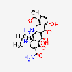 CC(=O)c1ccc(O)c2c1C[C@@]1(N)C[C@H]3[C@H](N(C)C)C=C(C(N)=O)C(=O)[C@@]3(O)C(O)=C1C2=O